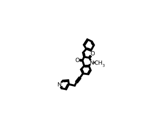 CN1C(=O)/C(=C\c2ccccc2)C(=O)c2cc(C#CCc3ccncc3)ccc21